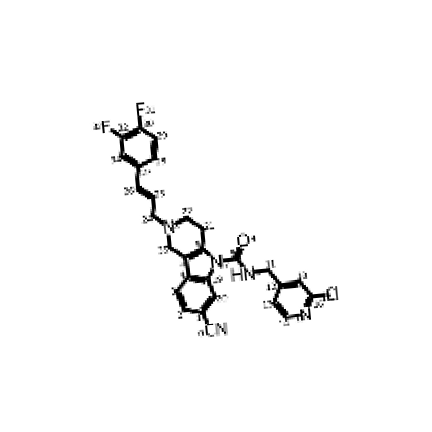 N#Cc1ccc2c3c(n(C(=O)NCc4ccnc(Cl)c4)c2c1)CCN(CC=Cc1ccc(F)c(F)c1)C3